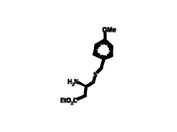 CCOC(=O)C[C@@H](N)CSCc1ccc(OC)cc1